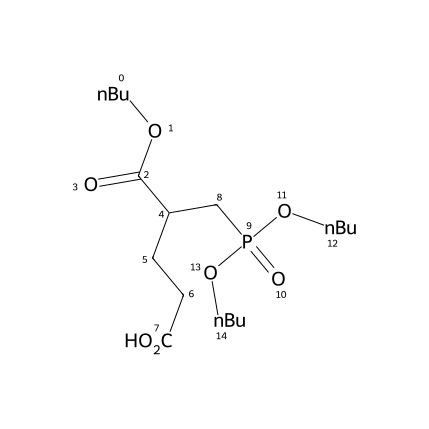 CCCCOC(=O)C(CCC(=O)O)CP(=O)(OCCCC)OCCCC